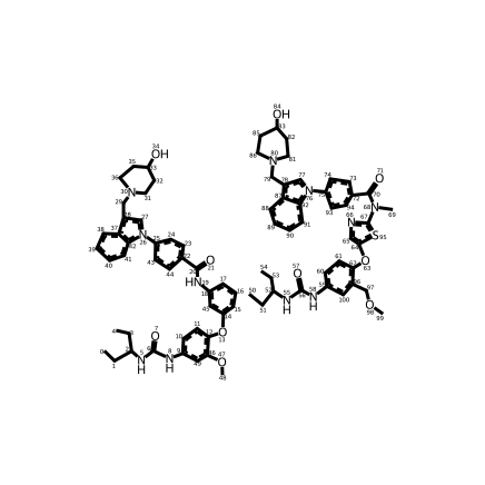 CCC(CC)NC(=O)Nc1ccc(Oc2cccc(NC(=O)c3ccc(-n4cc(CN5CCC(O)CC5)c5ccccc54)cc3)c2)c(OC)c1.CCC(CC)NC(=O)Nc1ccc(Oc2cnc(N(C)C(=O)c3ccc(-n4cc(CN5CCC(O)CC5)c5ccccc54)cc3)s2)c(COC)c1